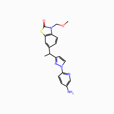 COCn1c(=O)sc2cc(C(C)c3ccn(-c4ccc(N)cn4)n3)ccc21